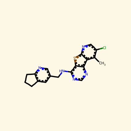 Cc1c(Cl)cnc2sc3c(NCc4cnc5c(c4)CCC5)ncnc3c12